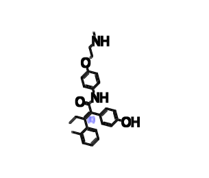 CC/C(=C(\C(=O)Nc1ccc(OCCNC)cc1)c1ccc(O)cc1)c1ccccc1C